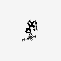 Cn1cc(-c2cccc(OCP(=O)(O)O)c2)c2c(N)ncnc21